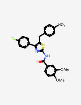 COc1ccc(C(=O)Nc2nc(-c3ccc(F)cc3)c(Cc3ccc([N+](=O)[O-])cc3)s2)cc1OC